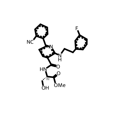 COC(=O)[C@H](CO)NC(=O)c1ccc(-c2ccccc2C#N)nc1NCCc1cccc(F)c1